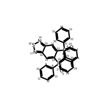 O=P(c1ccccc1)(c1ccccc1)c1cc2nsnc2cc1P(=O)(c1ccccc1)c1ccccc1